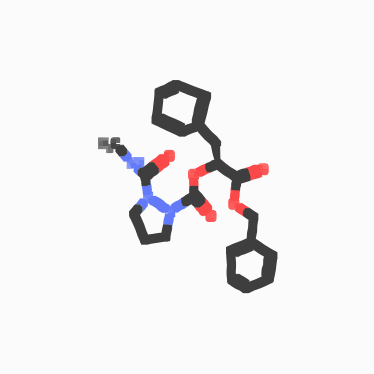 CNC(=O)N1CCCN1C(=O)O[C@@H](Cc1ccccc1)C(=O)OCc1ccccc1